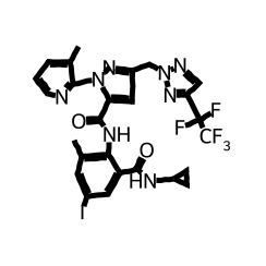 Cc1cccnc1-n1nc(Cn2ncc(C(F)(F)C(F)(F)F)n2)cc1C(=O)Nc1c(C)cc(I)cc1C(=O)NC1CC1